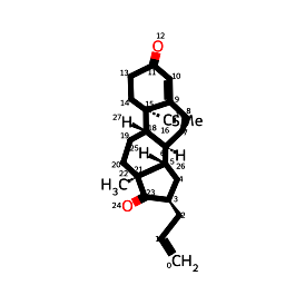 C=CC[C@@H]1C[C@H]2[C@@H]3CCC4=CC(=O)CC[C@]4(CSC)[C@H]3CC[C@]2(C)C1=O